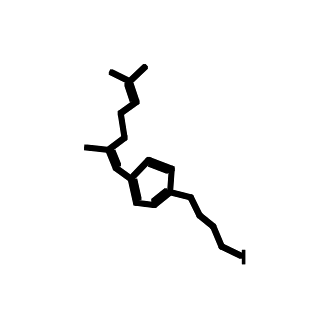 CC(C)=CCCC(C)=Cc1ccc(CCCCI)cc1